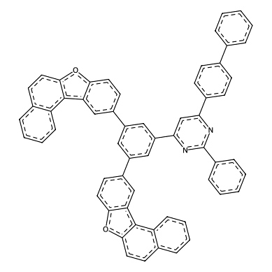 c1ccc(-c2ccc(-c3cc(-c4cc(-c5ccc6oc7ccc8ccccc8c7c6c5)cc(-c5ccc6oc7ccc8ccccc8c7c6c5)c4)nc(-c4ccccc4)n3)cc2)cc1